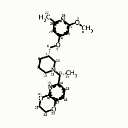 COc1cc(OC[C@H]2CCCN([C@H](C)c3ccc4c(n3)OCCO4)C2)cc(C)n1